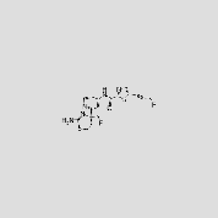 NC1=N[C@](CF)(c2cc(NC(=O)c3ncc(C#CCF)s3)ccn2)CCS1